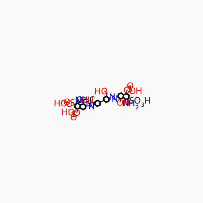 Nc1c(SOOO)cc(OS(=O)O)c2ccc(N=Nc3ccc(-c4ccc(N=Nc5ccc6c(OS(=O)O)cc(S(=O)(=O)O)c(N)c6c5O)c(CO)c4)cc3C=O)c(O)c12